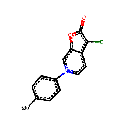 CC(C)(C)c1ccc(-n2ccc3c(Cl)c(=O)oc-3c2)cc1